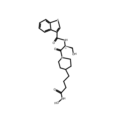 O=C(CCCC1CCN(C(=O)[C@H](CO)NC(=O)c2csc3ccccc23)CC1)NO